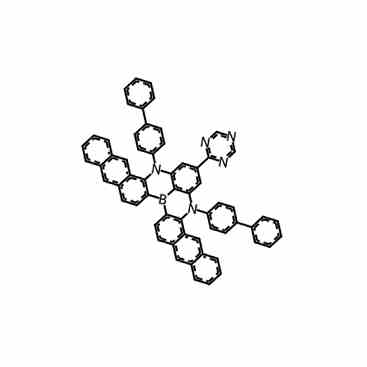 c1ccc(-c2ccc(N3c4cc(-c5ncncn5)cc5c4B(c4ccc6cc7ccccc7cc6c43)c3ccc4cc6ccccc6cc4c3N5c3ccc(-c4ccccc4)cc3)cc2)cc1